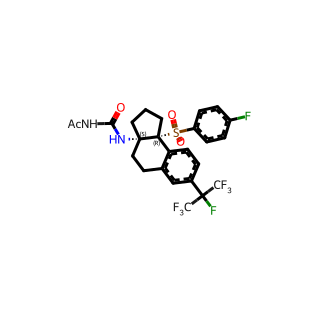 CC(=O)NC(=O)N[C@]12CCC[C@@]1(S(=O)(=O)c1ccc(F)cc1)c1ccc(C(F)(C(F)(F)F)C(F)(F)F)cc1CC2